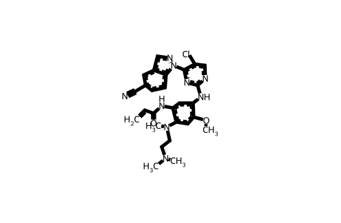 C=CC(=O)Nc1cc(Nc2ncc(Cl)c(-n3ncc4cc(C#N)ccc43)n2)c(OC)cc1N(C)CCN(C)C